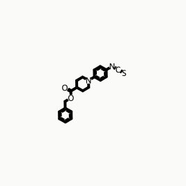 O=C(OCc1ccccc1)C1CCN(c2ccc(N=C=S)cc2)CC1